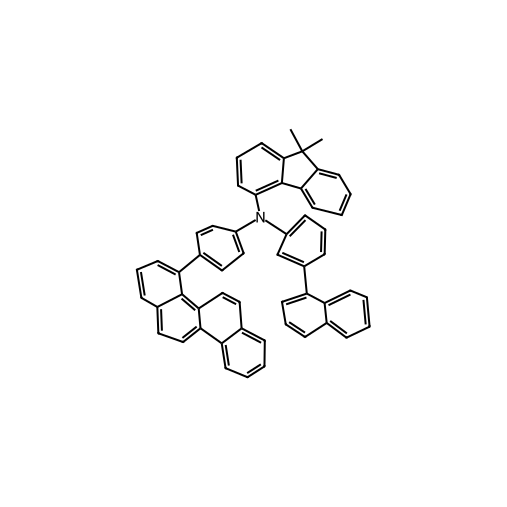 CC1(C)c2ccccc2-c2c(N(c3ccc(-c4cccc5ccc6c7ccccc7ccc6c45)cc3)c3cccc(-c4cccc5ccccc45)c3)cccc21